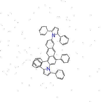 C1=CCC(c2ccc(-c3ccccc3)n2-c2ccc3cc4c(-c5ccccc5)c(-n5c(-c6ccccc6)ccc5-c5ccccc5)cc(-c5ccccc5)c4cc3c2)C=C1